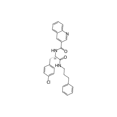 O=C(N[C@@H](Cc1ccc(Cl)cc1)C(=O)NCCCc1ccccc1)c1cnc2ccccc2c1